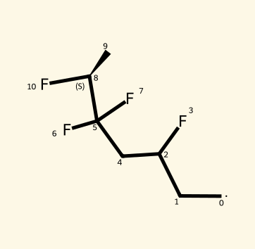 [CH2]CC(F)CC(F)(F)[C@H](C)F